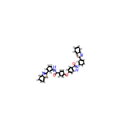 O=C(Nc1cccc(-c2nc3ccccc3s2)c1)c1ccc(Oc2ccc(C(=O)Nc3cccc(-c4nc5ccccc5s4)c3)cc2)cc1